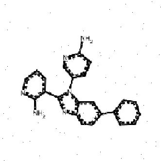 Nc1ccc(-n2c(-c3cccnc3N)nc3ccc(-c4ccccc4)cc32)cn1